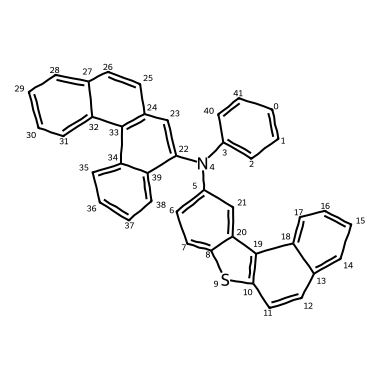 c1ccc(N(c2ccc3sc4ccc5ccccc5c4c3c2)c2cc3ccc4ccccc4c3c3ccccc23)cc1